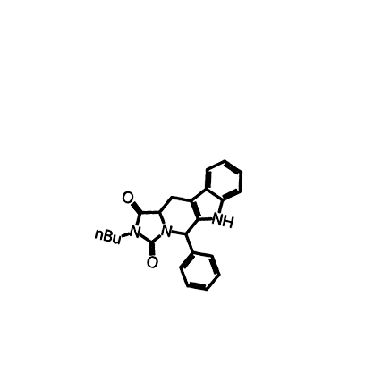 CCCCN1C(=O)C2Cc3c([nH]c4ccccc34)C(c3ccccc3)N2C1=O